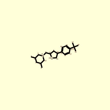 CC1CC(C)CN(CC2CC(c3ccc(C(C)(C)C)cc3)CO2)C1